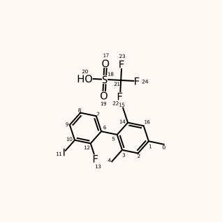 Cc1cc(C)c(-c2cccc(I)c2F)c(C)c1.O=S(=O)(O)C(F)(F)F